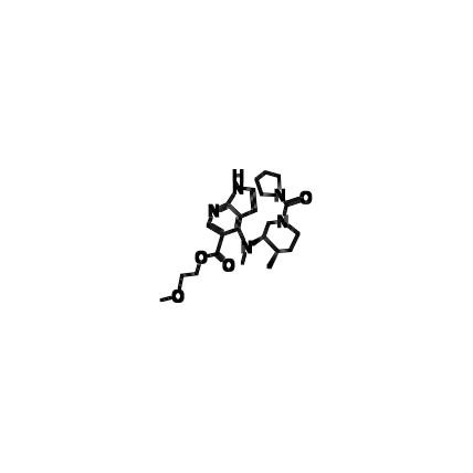 COCCOC(=O)c1cnc2[nH]ccc2c1N(C)[C@H]1CN(C(=O)N2CCCC2)CC[C@H]1C